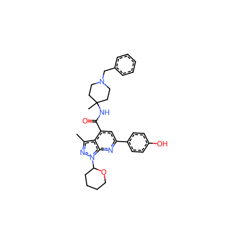 Cc1nn(C2CCCCO2)c2nc(-c3ccc(O)cc3)cc(C(=O)NC3(C)CCN(Cc4ccccc4)CC3)c12